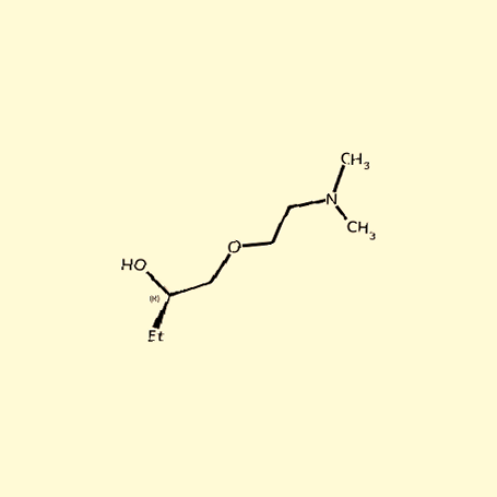 CC[C@@H](O)COCCN(C)C